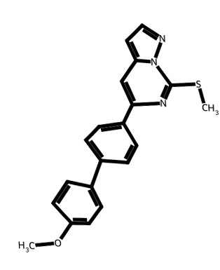 COc1ccc(-c2ccc(-c3cc4ccnn4c(SC)n3)cc2)cc1